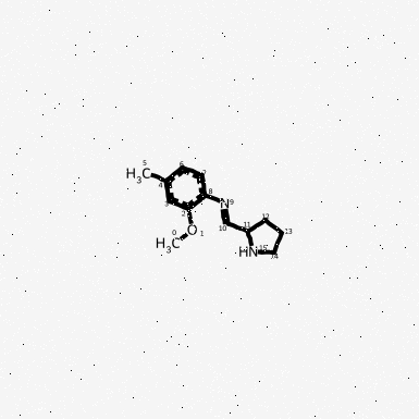 COc1cc(C)ccc1N=CC1CCCN1